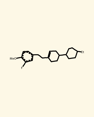 CCC1CCC(C2CC=C(CCc3ccc(OC)c(F)c3)CC2)CC1